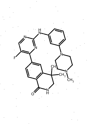 CN1CCN(c2cccc(Nc3ncc(F)c(-c4ccc5c(c4)C(C)(C)CNC5=O)n3)c2)CC1